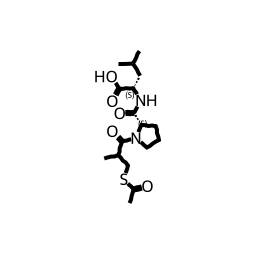 CC(=O)SCC(C)C(=O)N1CCC[C@H]1C(=O)N[C@@H](CC(C)C)C(=O)O